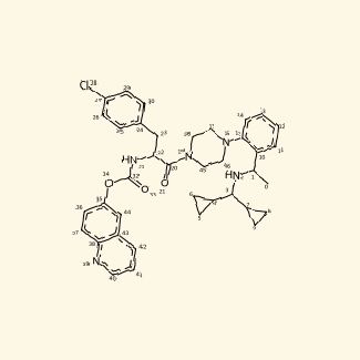 CC(NC(C1CC1)C1CC1)c1ccccc1N1CCN(C(=O)C(Cc2ccc(Cl)cc2)NC(=O)Oc2ccc3ncccc3c2)CC1